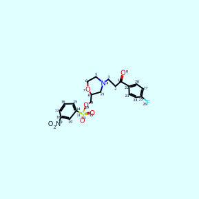 O=C(CCN1CCOC(COS(=O)(=O)c2cccc([N+](=O)[O-])c2)C1)c1ccc(F)cc1